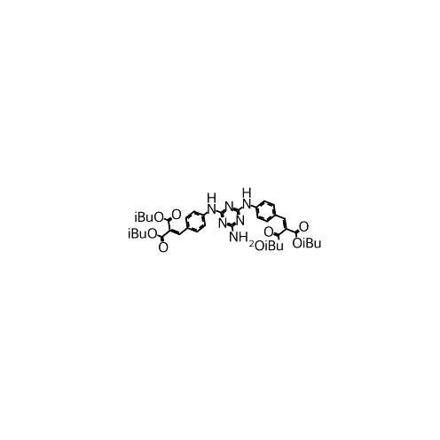 CC(C)COC(=O)C(=Cc1ccc(Nc2nc(N)nc(Nc3ccc(C=C(C(=O)OCC(C)C)C(=O)OCC(C)C)cc3)n2)cc1)C(=O)OCC(C)C